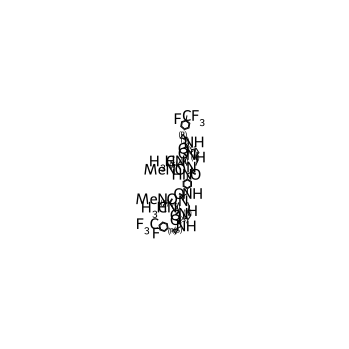 CN[C@@H](C)C(=O)N[C@H]1CN(C(=O)Nc2ccc(NC(=O)N3CC[C@H]4CC[C@@H](C(=O)N[C@H]5C[C@@H]5c5ccc(C(F)(F)F)c(F)c5)N4C(=O)[C@H](NC(=O)[C@H](C)NC)C3)cc2)CC[C@H]2CC[C@@H](C(=O)N[C@H]3C[C@@H]3c3ccc(C(F)(F)F)c(F)c3)N2C1=O